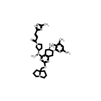 Cc1noc(/C=C/C(=O)N2CC[C@@H](N(C)c3nc(OCC45CCCN4CCC5)nc4c3C[C@@H](C)[C@H](c3nc(N)cc(C)c3C(F)(F)F)C4)C2)n1